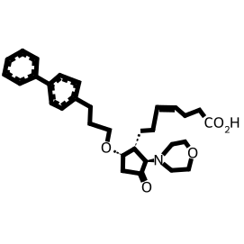 O=C(O)CC/C=C\CC[C@H]1[C@@H](OCCCc2ccc(-c3ccccc3)cc2)CC(=O)[C@@H]1N1CCOCC1